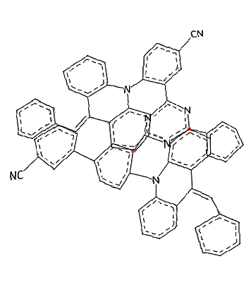 N#Cc1cccc(-c2ccc(N3c4ccccc4C(=Cc4ccccc4)c4ccccc43)c(-c3nc(-c4ccccc4)nc(-c4cc(C#N)ccc4N4c5ccccc5C(=Cc5ccccc5)c5ccccc54)n3)c2)c1